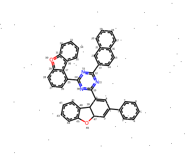 C1=C(c2ccccc2)C=C(c2nc(-c3ccc4ccccc4c3)nc(-c3cccc4oc5ccccc5c34)n2)C2c3ccccc3OC12